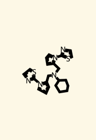 c1cc(CN(Cc2cccn2-c2nccs2)C2CCCCC2)n(-c2nccs2)c1